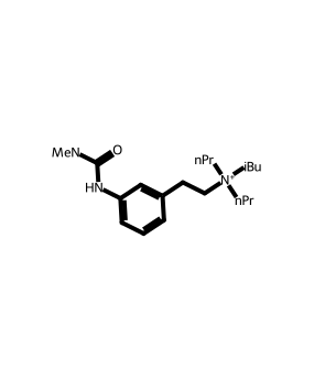 CCC[N+](CCC)(CCc1cccc(NC(=O)NC)c1)C(C)CC